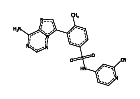 Cc1ccc(S(=O)(=O)Nc2ccnc(C#N)c2)cc1-c1cnc2c(N)ncnn12